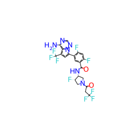 Nc1ncnn2c(-c3cc(C(=O)N[C@@H]4CN(C(=O)CC(F)(F)F)C[C@@H]4F)c(F)cc3F)cc(C(F)(F)F)c12